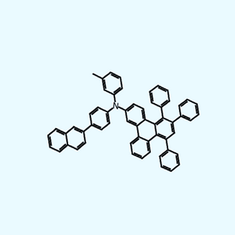 Cc1cccc(N(c2ccc(-c3ccc4ccccc4c3)cc2)c2ccc3c(c2)c2ccccc2c2c(-c4ccccc4)cc(-c4ccccc4)c(-c4ccccc4)c32)c1